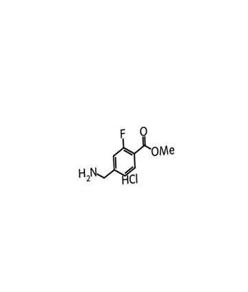 COC(=O)c1ccc(CN)cc1F.Cl